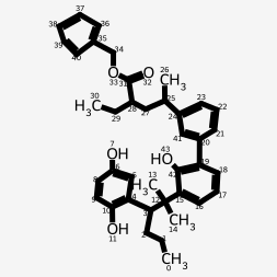 CCCC(c1cc(O)ccc1O)C(C)(C)c1cccc(-c2cccc(C(C)CC(CC)C(=O)OCc3ccccc3)c2)c1O